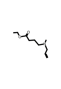 C=CCN(C)CCCC(=O)OCC